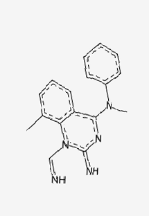 Cc1cccc2c(N(C)c3ccccc3)nc(=N)n(C=N)c12